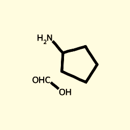 NC1CCCC1.O=CO